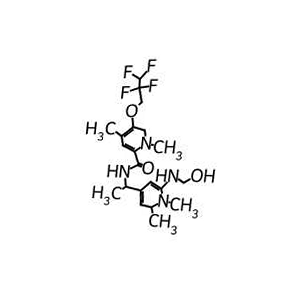 CC1=C(OCC(F)(F)C(F)F)CN(C)C(C(=O)NC(C)C2=CC(C)N(C)C(NCO)=C2)=C1